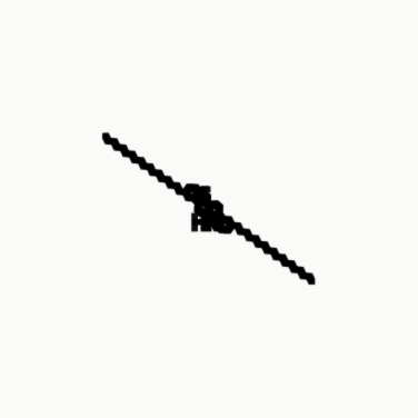 CCCCCCCCCCCCCCCCCCc1ccc2[nH]c3c(ccc4c3ccc3c5cc(CCCCCCCCCCCCCCCCCC)ccc5sc34)c2c1